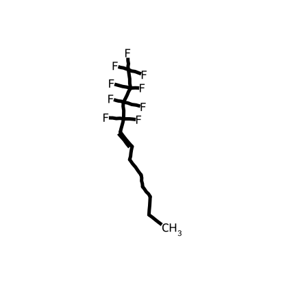 CCCCCCC=CC(F)(F)C(F)(F)C(F)(F)C(F)(F)F